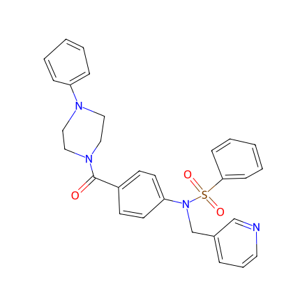 O=C(c1ccc(N(Cc2cccnc2)S(=O)(=O)c2ccccc2)cc1)N1CCN(c2ccccc2)CC1